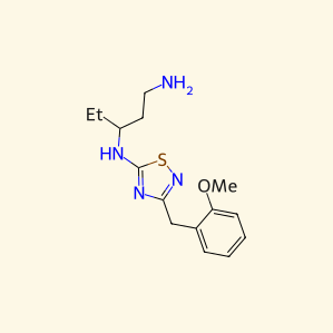 CCC(CCN)Nc1nc(Cc2ccccc2OC)ns1